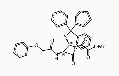 COC(=O)C(=O)N1C(=O)[C@@H](NC(=O)COc2ccccc2)[C@H]1SC(c1ccccc1)(c1ccccc1)c1ccccc1